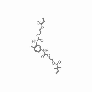 C=CC(=O)OCCOC(=O)Nc1cc(NC(=O)OCCOC(=O)C(C)(C)CC)ccc1C